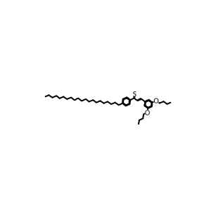 CCCCCCCCCCCCCCCCCCCCCc1ccc(C(=S)C=Cc2cc(OCCCC)cc(OCCCC)c2)cc1